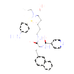 CC(C)CN([C@H](CO)CCCCNC(=O)[C@H](Cc1ccc2ccccc2c1)NC(=O)c1ccncc1)S(=O)(=O)c1ccc(N)cc1